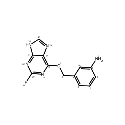 Nc1cccc(COc2nc(F)nc3[nH]cnc23)c1